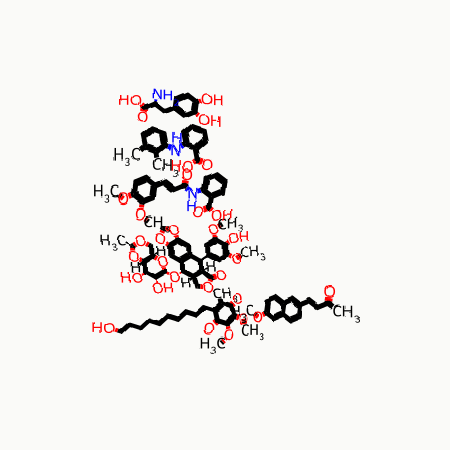 COC1=C(OC)C(=O)C(CCCCCCCCCCO)=C(C)C1=O.COc1cc([C@@H]2c3cc4c(cc3[C@@H](O[C@@H]3O[C@@H]5CO[C@@H](C)O[C@H]5[C@H](O)[C@H]3O)[C@H]3COC(=O)[C@H]23)OCO4)cc(OC)c1O.COc1ccc(/C=C/C(=O)Nc2ccccc2C(=O)O)cc1OC.COc1ccc2cc(CCC(C)=O)ccc2c1.Cc1cccc(Nc2ccccc2C(=O)O)c1C.N[C@@H](Cc1ccc(O)c(O)c1)C(=O)O